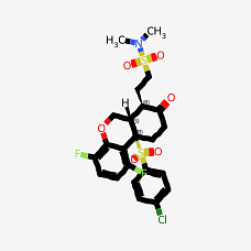 CN(C)S(=O)(=O)CC[C@H]1C(=O)CC[C@]2(S(=O)(=O)c3ccc(Cl)cc3)c3c(F)ccc(F)c3OC[C@H]12